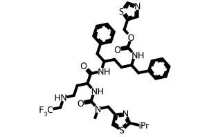 CC(C)c1nc(CN(C)C(=O)NC(CCNCC(F)(F)F)C(=O)NC(CCC(Cc2ccccc2)NC(=O)OCc2cncs2)Cc2ccccc2)cs1